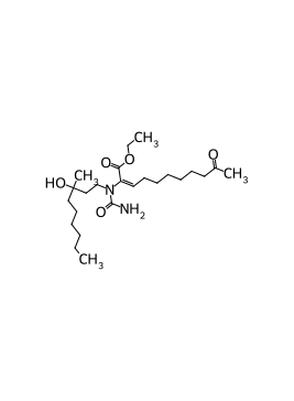 CCCCCCC(C)(O)CCN(C(N)=O)C(=CCCCCCCC(C)=O)C(=O)OCC